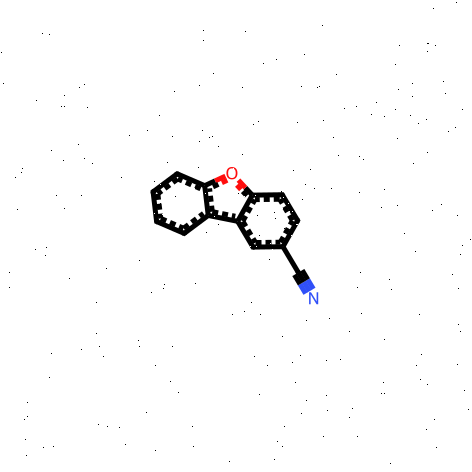 N#Cc1ccc2oc3ccccc3c2c1